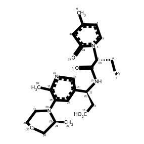 Cc1ccn([C@H](CC(C)C)C(=O)N[C@@H](CC(=O)O)c2cnc(C)c(N3CCOC[C@@H]3C)c2)c(=O)c1